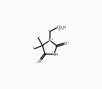 CC1(C)C(=O)NC(=O)N1CC(=O)O